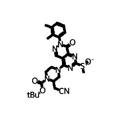 Cc1cccc(-n2ncc3c(N4CCN(C(=O)OC(C)(C)C)C(CC#N)C4)nc([S+](C)[O-])nc3c2=O)c1C